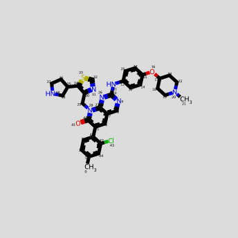 Cc1ccc(-c2cc3cnc(Nc4ccc(OC5CCN(C)CC5)cc4)nc3n(Cc3ncsc3C3CCNC3)c2=O)c(Cl)c1